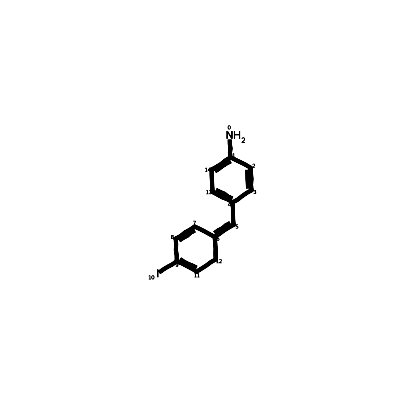 Nc1ccc(/C=C2\C=CC(I)=CC2)cc1